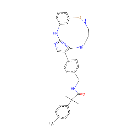 CC(C)(C(=O)NCc1ccc(-c2cnc3nc2NCCCNSc2cccc(c2)N3)cc1)c1ccc(C(F)(F)F)cc1